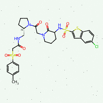 Cc1ccc(S(=O)(=O)CC(=O)NC[C@@H]2CCCN2C(=O)CN2CCCC(NS(=O)(=O)c3cc4cc(Cl)ccc4s3)C2=O)cc1